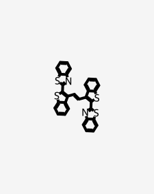 C(=Cc1c(-c2nc3ccccc3s2)sc2ccccc12)c1c(-c2nc3ccccc3s2)sc2ccccc12